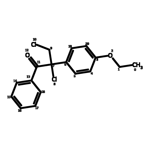 CCOc1ccc(C(Cl)(CCl)C(=O)c2ccccc2)cc1